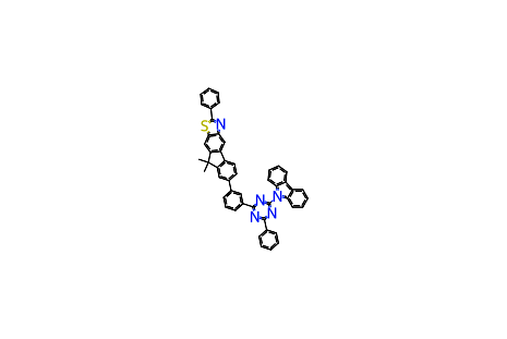 CC1(C)c2cc(-c3cccc(-c4nc(-c5ccccc5)nc(-n5c6ccccc6c6ccccc65)n4)c3)ccc2-c2cc3nc(-c4ccccc4)sc3cc21